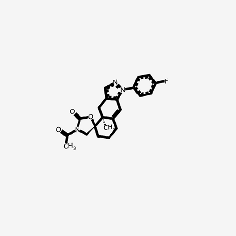 CC(=O)N1C[C@@]2(CCCC3=Cc4c(cnn4-c4ccc(F)cc4)C[C@@]32C)OC1=O